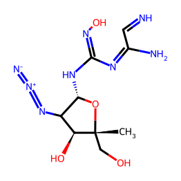 C[C@]1(CO)O[C@@H](NC(=N/O)/N=C(/N)C=N)C(N=[N+]=[N-])[C@@H]1O